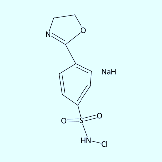 O=S(=O)(NCl)c1ccc(C2=NCCO2)cc1.[NaH]